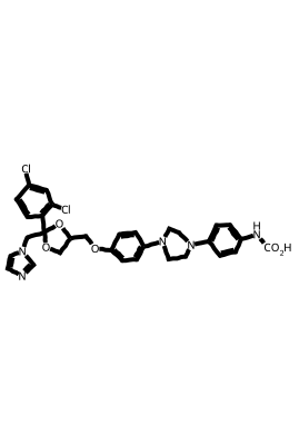 O=C(O)Nc1ccc(N2CCN(c3ccc(OCC4COC(Cn5ccnc5)(c5ccc(Cl)cc5Cl)O4)cc3)CC2)cc1